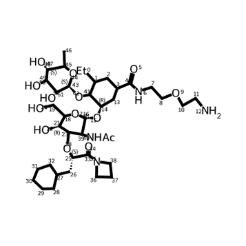 CCC1CC(C(=O)NCCOCCN)C[C@@H](O[C@@H]2OC(CO)[C@H](O)C(O[C@@H](CC3CCCCC3)C(=O)N3CCC3)C2NC(C)=O)C1O[C@@H]1OC(C)[C@@H](O)C(O)C1O